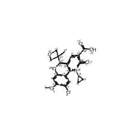 COc1cc2c(cc1Cl)-c1c(cc(C(=O)O)c(=O)n1C1CC1)[C@H](C1(C)COC1)O2